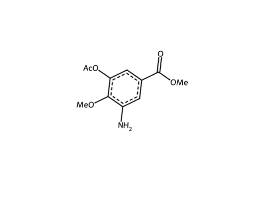 COC(=O)c1cc(N)c(OC)c(OC(C)=O)c1